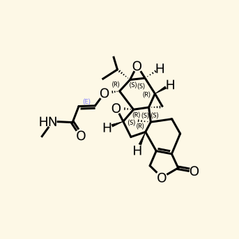 CNC(=O)/C=C/O[C@@H]1[C@@]2(C(C)C)O[C@H]2[C@@H]2C[C@]23[C@]12O[C@H]2C[C@H]1C2=C(CC[C@@]13C)C(=O)OC2